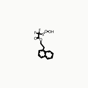 O=C(OCCc1cccc2ccccc12)C(F)(F)SOO